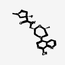 C[C@@H]1CN(c2cnc(C#N)c3ncccc23)C[C@H](CNC(=O)[C@]2(F)CCN(C)C2)O1